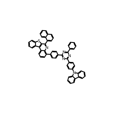 c1ccc(-c2nc(-c3ccc(-c4cccc5c4nc(-c4cccc6ccccc46)c4sc6ccccc6c45)cc3)nc(-c3ccc(-n4c5ccccc5c5ccccc54)cc3)n2)cc1